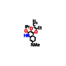 CC=C(CC)Oc1c(OC(C)C)c(=O)[nH]c2cc(NC)ccc12